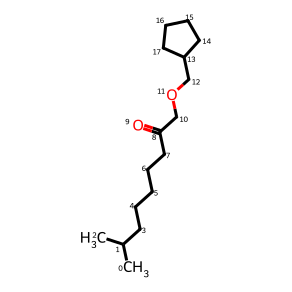 CC(C)CCCCCC(=O)COCC1CCCC1